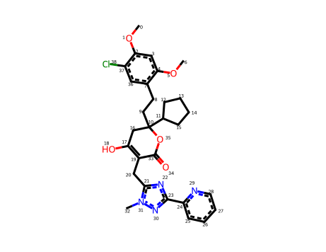 COc1cc(OC)c(CCC2(C3CCCC3)CC(O)=C(Cc3nc(-c4ccccn4)nn3C)C(=O)O2)cc1Cl